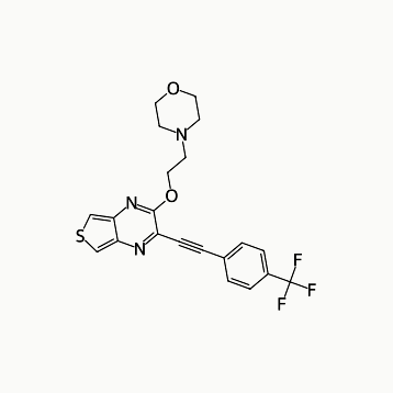 FC(F)(F)c1ccc(C#Cc2nc3cscc3nc2OCCN2CCOCC2)cc1